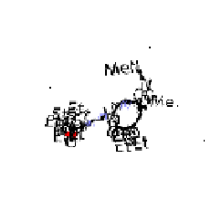 CC[C@H](O[Si](CC)(CC)CC)[C@@H](C)[C@H]1O[C@@H]1C[C@](C)(/C=C/C=C(\C)[C@H]1OC(=O)C[C@H](O[Si](CC)(CC)CC)CC[C@@](C)(OC)[C@@H](OC(=O)N(C)CCNC)/C=C/[C@@H]1C)O[Si](CC)(CC)CC